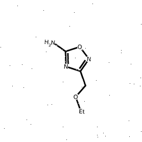 CCOCc1noc(N)n1